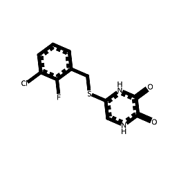 O=c1[nH]cc(SCc2cccc(Cl)c2F)[nH]c1=O